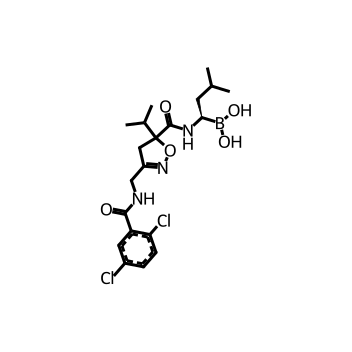 CC(C)C[C@H](NC(=O)C1(C(C)C)CC(CNC(=O)c2cc(Cl)ccc2Cl)=NO1)B(O)O